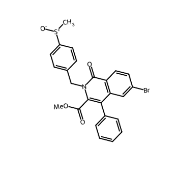 COC(=O)c1c(-c2ccccc2)c2cc(Br)ccc2c(=O)n1Cc1ccc([S+](C)[O-])cc1